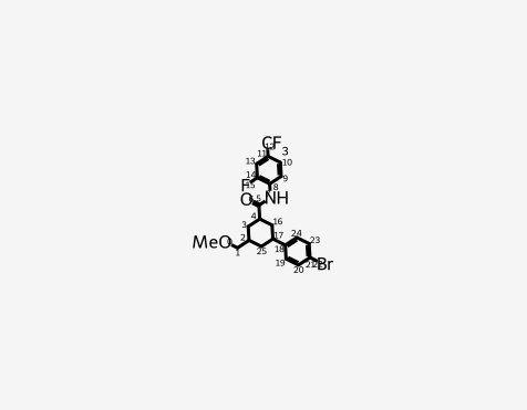 COCC1CC(C(=O)Nc2ccc(C(F)(F)F)cc2F)CC(c2ccc(Br)cc2)C1